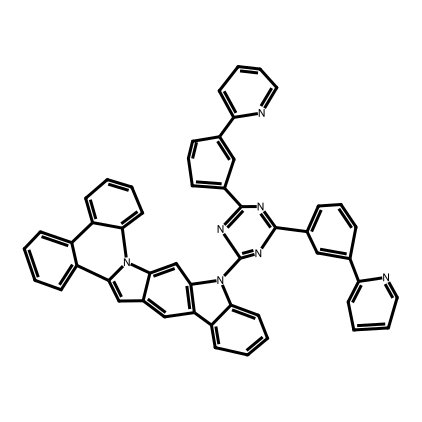 c1ccc(-c2cccc(-c3nc(-c4cccc(-c5ccccn5)c4)nc(-n4c5ccccc5c5cc6cc7c8ccccc8c8ccccc8n7c6cc54)n3)c2)nc1